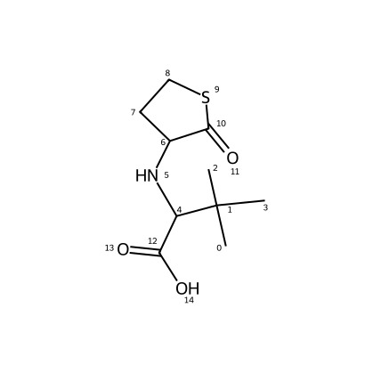 CC(C)(C)C(NC1CCSC1=O)C(=O)O